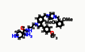 COc1cccc(OC)c1CN1CC2CC1CN2Cc1ccc2c(c1)c(-c1ccc(OC(F)(F)F)cc1)cn2CCCNC(=O)C1(N)CCNCC1